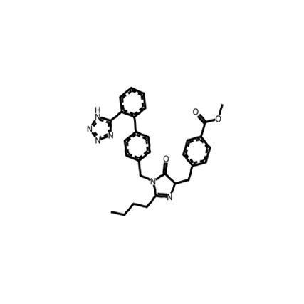 CCCCC1=NC(Cc2ccc(C(=O)OC)cc2)C(=O)N1Cc1ccc(-c2ccccc2-c2nnn[nH]2)cc1